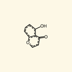 O=c1ccoc2cccc(O)c12